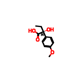 CC[C@](O)(C(=O)O)c1ccc(OC)cc1